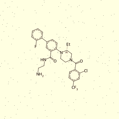 CC[C@@H]1CN(C(=O)c2ccc(C(F)(F)F)cc2Cl)CCN1c1ccc(-c2ccccc2F)cc1C(=O)NCCN